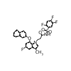 Cc1cn(CCC(=O)NS(=O)(=O)c2cc(F)c(F)cc2F)c2c(Oc3ccc4ccccc4c3)cc(F)cc12